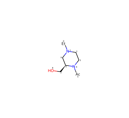 CCN1CCN(C(C)=O)[C@@H](CO)C1